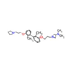 Cc1c(OCCCN2CCCC2)cccc1-c1cccc(OCCCN2CC(N(C)C)C2)c1C